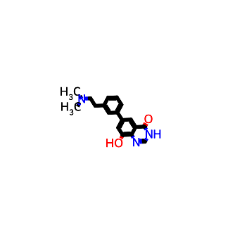 CN(C)CCc1cccc(-c2cc(O)c3nc[nH]c(=O)c3c2)c1